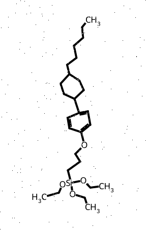 CCCCCCC1CCC(c2ccc(OCCC[Si](OCC)(OCC)OCC)cc2)CC1